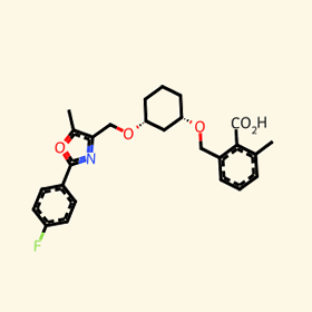 Cc1cccc(CO[C@H]2CCC[C@@H](OCc3nc(-c4ccc(F)cc4)oc3C)C2)c1C(=O)O